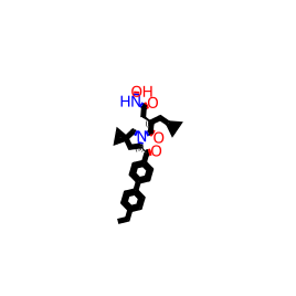 CCc1ccc(-c2ccc(C(=O)[C@@H]3CC4(CC4)CN3C(=O)[C@@H](CC(=O)NO)CC3=CC3)cc2)cc1